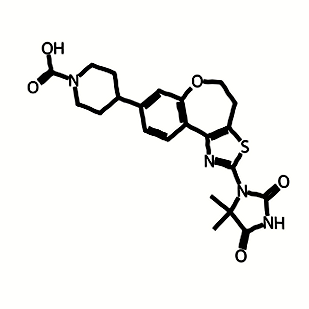 CC1(C)C(=O)NC(=O)N1c1nc2c(s1)CCOc1cc(C3CCN(C(=O)O)CC3)ccc1-2